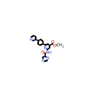 COC(=O)c1cc(NC(=O)c2cnccn2)nc(-c2ccc(-c3cccnc3)cc2)c1